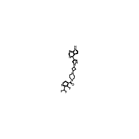 O=C(c1ccnc(C(F)F)c1F)N1CCN(C2CC(n3cc(-c4ncnc5[nH]ccc45)cn3)C2)CC1